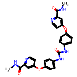 CNC(=O)c1cc(Oc2ccc(NC(=O)Nc3ccc(Oc4ccnc(C(=O)NC)c4)cc3)cc2)ccn1